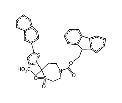 O=C(O)CC1(c2ccc(-c3ccc4ccccc4c3)s2)CCN(C(=O)OCC2c3ccccc3-c3ccccc32)CCS1(=O)=O